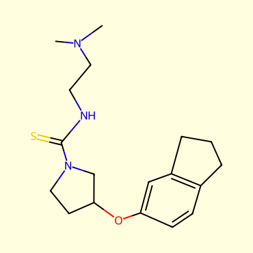 CN(C)CCNC(=S)N1CCC(Oc2ccc3c(c2)CCC3)C1